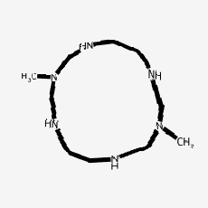 CN1CNCCNCN(C)CNCCNC1